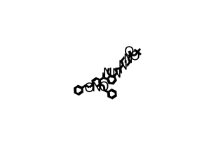 Cn1cc(-c2ccc(OCc3ccccc3)nc2OCc2ccccc2)c2cccc(N3CC(N4CCN(C(=O)OC(C)(C)C)CC4)C3)c21